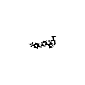 CC(C)C1CCn2ncc(-c3ccnc(Nc4ccc(P(C)(C)=O)cc4)n3)c2N1